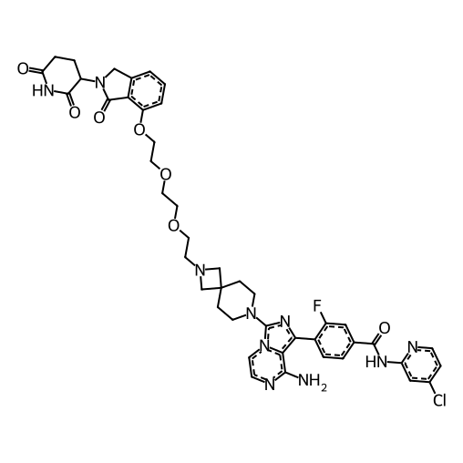 Nc1nccn2c(N3CCC4(CC3)CN(CCOCCOCCOc3cccc5c3C(=O)N(C3CCC(=O)NC3=O)C5)C4)nc(-c3ccc(C(=O)Nc4cc(Cl)ccn4)cc3F)c12